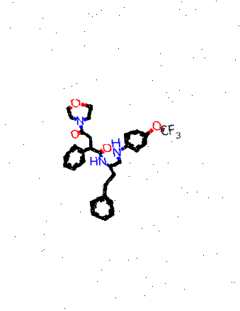 O=C(NC(CCc1ccccc1)CNc1ccc(OC(F)(F)F)cc1)C(CC(=O)N1CCOCC1)c1ccccc1